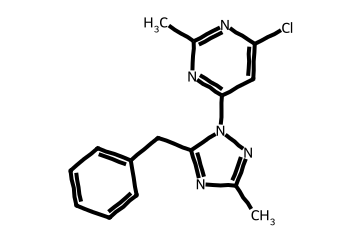 Cc1nc(Cl)cc(-n2nc(C)nc2Cc2ccccc2)n1